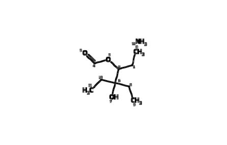 CCC(OC=O)C(O)(CC)CC.N